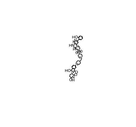 O=C1CCC(N2C(=O)c3cc(N4CCC(CN5CCC(S(=O)(=O)N6CCN7c8cc(-c9ccccc9O)nnc8NC[C@H]7C6)CC5)CC4)ccc3C2O)C(=O)N1